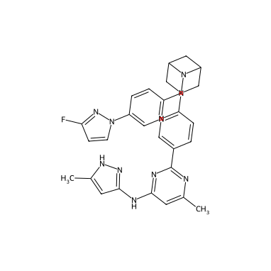 Cc1cc(Nc2cc(C)[nH]n2)nc(-c2ccc(N3CC4CC(C3)N4Cc3ccc(-n4ccc(F)n4)cn3)nc2)n1